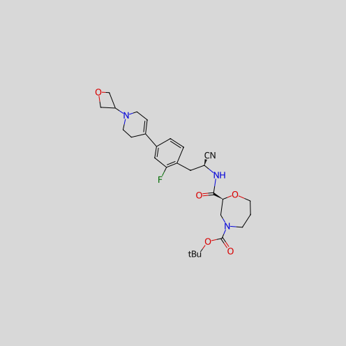 CC(C)(C)OC(=O)N1CCCO[C@H](C(=O)N[C@H](C#N)Cc2ccc(C3=CCN(C4COC4)CC3)cc2F)C1